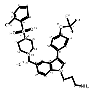 Cl.NCCCn1cc(-c2ccc(OC(F)(F)F)cc2)c2cc(CN3CCN(S(=O)(=O)c4ccccc4Cl)CC3)ccc21